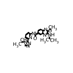 COc1nc2ccc(C(=O)Nc3cccc(-c4nncn4C(C)C)n3)cc2nc1NC(C)C